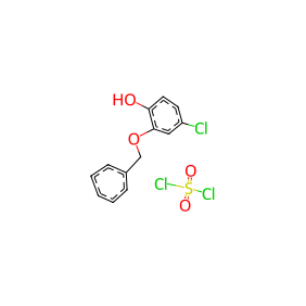 O=S(=O)(Cl)Cl.Oc1ccc(Cl)cc1OCc1ccccc1